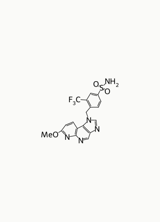 COc1ccc2c(ncc3ncn(Cc4ccc(S(N)(=O)=O)cc4C(F)(F)F)c32)n1